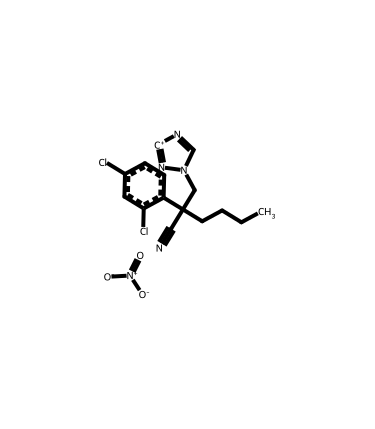 CCCCC(C#N)(CN1C=N[C+]=N1)c1ccc(Cl)cc1Cl.O=[N+]([O-])[O-]